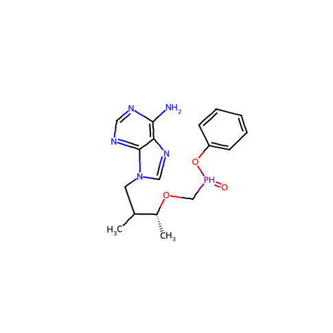 CC(Cn1cnc2c(N)ncnc21)[C@@H](C)OC[PH](=O)Oc1ccccc1